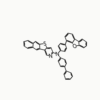 c1ccc(-c2ccc(N(c3ccc(-c4cccc5c4oc4ccccc45)cc3)c3cc4sc5cc6ccccc6cc5c4cn3)cc2)cc1